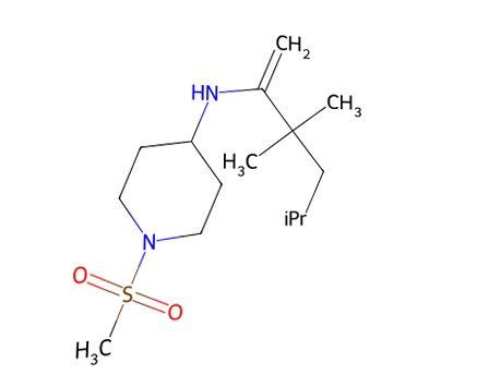 C=C(NC1CCN(S(C)(=O)=O)CC1)C(C)(C)CC(C)C